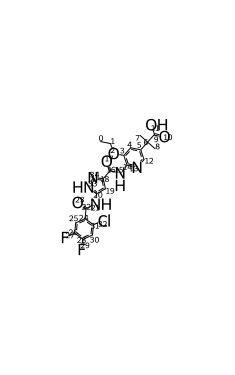 CCOc1cc(C(C)(C)C(=O)O)cnc1NC(=O)c1cc(NC(=O)c2cc(F)c(F)cc2Cl)[nH]n1